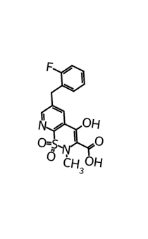 CN1C(C(=O)O)=C(O)c2cc(Cc3ccccc3F)cnc2S1(=O)=O